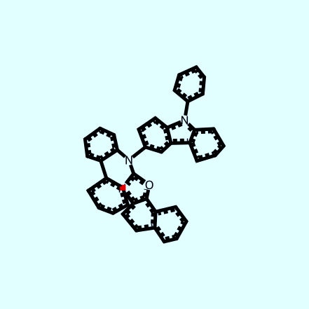 c1ccc(-c2ccccc2N(c2ccc3c(c2)c2ccccc2n3-c2ccccc2)c2nc3ccc4ccccc4c3o2)cc1